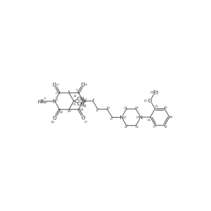 CCCCN1C(=O)C2C(=O)N(CCCCN3CCN(c4ccccc4OCC)CC3)C(=O)C(C1=O)C2(C)C